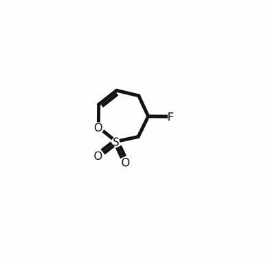 O=S1(=O)CC(F)CC=CO1